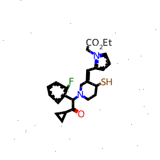 CCOC(=O)Cn1cccc1/C=C1/CN(C(C(=O)C2CC2)c2ccccc2F)CCC1S